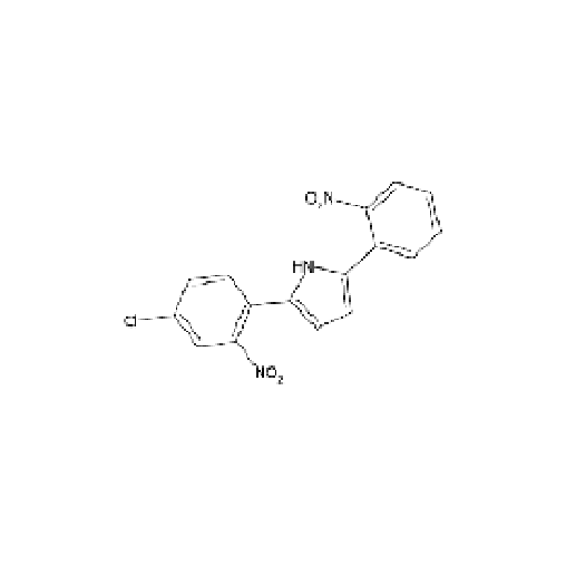 O=[N+]([O-])c1ccccc1-c1ccc(-c2ccc(Cl)cc2[N+](=O)[O-])[nH]1